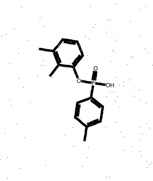 Cc1ccc(P(=O)(O)Oc2cccc(C)c2C)cc1